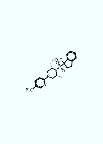 C[C@@H]1CN(c2ccc(C(F)(F)F)cn2)C[C@H](C)N1S(=O)(=O)C1(C(=O)O)CCc2ccccc21